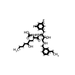 CCCCC(O)CC[C@@H](NC(=O)O)C(=O)N[C@@H](Cc1cc(F)cc(F)c1)[C@@H](O)CNCc1cccc(CC)c1